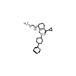 CSCN[C@H]1CCCN(C(=O)C2CC2)[C@H]1COC1CCC(c2ccccn2)CC1